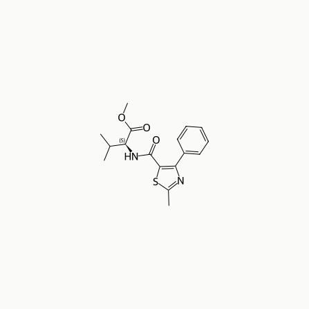 COC(=O)[C@@H](NC(=O)c1sc(C)nc1-c1ccccc1)C(C)C